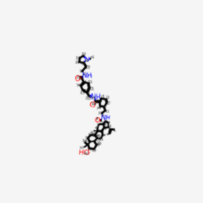 C=C(C)[C@@H]1CC[C@]2(C(=O)NCCc3cccc(C(=O)NCc4ccc(C(=O)NCCC5CCCN5C)cc4)c3)CC[C@]3(C)C(CCC4[C@@]5(C)CC[C@H](O)C(C)(C)C5CC[C@]43C)C12